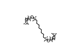 C[SiH](C)O[Si](C)(C)O[Si](C)(C)CCCCCCCC[Si](C)(C)O[Si](C)(C)O[SiH](C)C